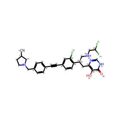 N#CC1CCN(Cc2ccc(C#Cc3ccc([C@@H](CNCC(F)F)Cc4nc[nH]c(=O)c4O)c(F)c3)cc2)C1